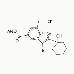 COC(=O)c1cc(C)[n+]2[se]c(C3(O)CCCCC3)c(Br)c2c1.[Cl-]